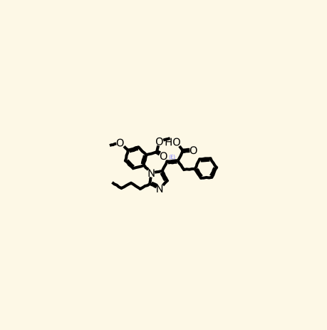 CCCCc1ncc(/C=C(\Cc2ccccc2)C(=O)O)n1-c1ccc(OC)cc1C(=O)OC